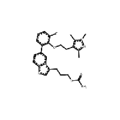 Cc1nn(C)c(C)c1CCOc1c(F)cccc1-c1ccc2ncc(CCCOC(N)=O)n2c1